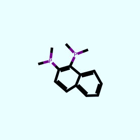 CP(C)c1ccc2ccccc2c1P(C)C